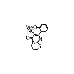 COc1ccccc1-c1nc2n(c(=O)c1C#N)CCCS2